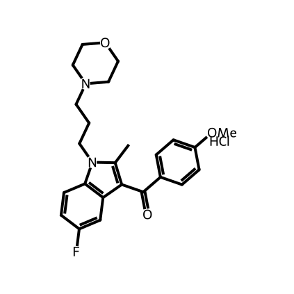 COc1ccc(C(=O)c2c(C)n(CCCN3CCOCC3)c3ccc(F)cc23)cc1.Cl